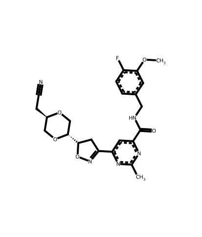 COc1cc(CNC(=O)c2cc(C3=NOC([C@H]4CO[C@H](CC#N)CO4)C3)nc(C)n2)ccc1F